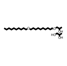 CC(O)CO.CC(O)CO.CCCCCCCCCCOCCCCCCCCCC